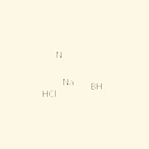 Cl.[BH3-]C#N.[Na+]